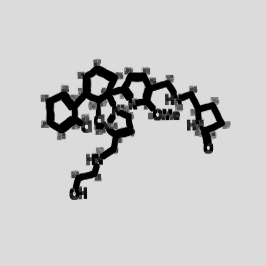 COc1nc(C2(N3CC=C(CNCCO)N3C)C=CC=C(c3ccccc3Cl)[C@@H]2Cl)ccc1CNCC1CCC(=O)N1